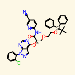 CC(C)(C)[Si](OCCOC[C@H](Oc1ncnc2c1cnn2-c1ccccc1Cl)C(=O)Nc1ccc(C#N)cn1)(c1ccccc1)c1ccccc1